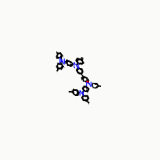 CC1=CCC(N(c2ccc(-c3ccc(N(c4ccc(C)cc4)c4ccc(N(c5ccc(C)cc5)c5ccc(C)cc5)cc4)cc3)cc2)c2ccc(N(c3ccc(C)cc3)c3ccc(C)cc3)cc2)C=C1